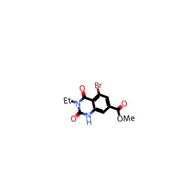 CCn1c(=O)[nH]c2cc(C(=O)OC)cc(Br)c2c1=O